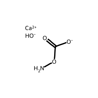 NOC(=O)[O-].[Ca+2].[OH-]